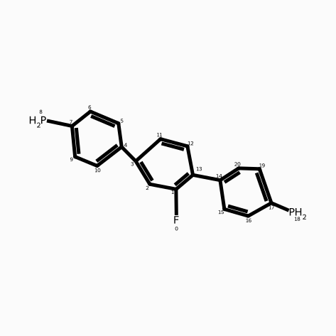 Fc1cc(-c2ccc(P)cc2)ccc1-c1ccc(P)cc1